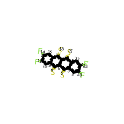 Fc1cc2c(=S)c3c(=S)c4cc(F)c(F)cc4c(=S)c=3c(=S)c2cc1F